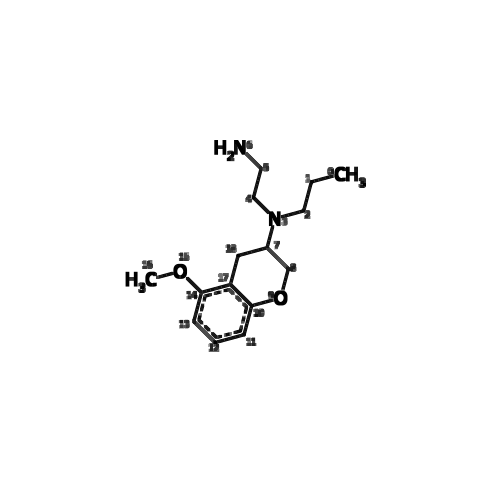 CCCN(CCN)C1COc2cccc(OC)c2C1